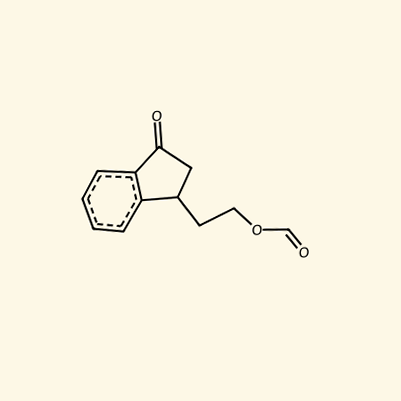 O=COCCC1CC(=O)c2ccccc21